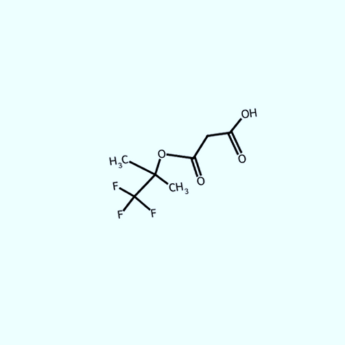 CC(C)(OC(=O)CC(=O)O)C(F)(F)F